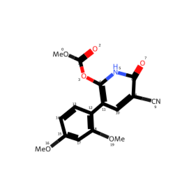 COC(=O)Oc1[nH]c(=O)c(C#N)cc1-c1ccc(OC)cc1OC